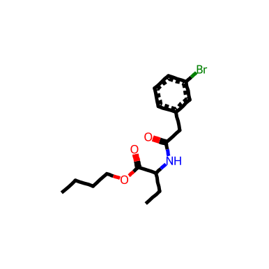 CCCCOC(=O)C(CC)NC(=O)Cc1cccc(Br)c1